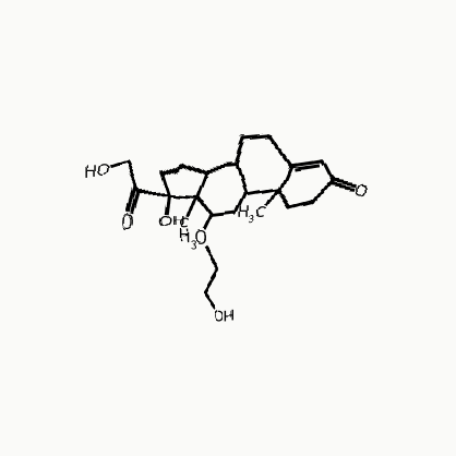 CC12CCC(=O)C=C1CCC1C2CC(OCCO)C2(C)C1CCC2(O)C(=O)CO